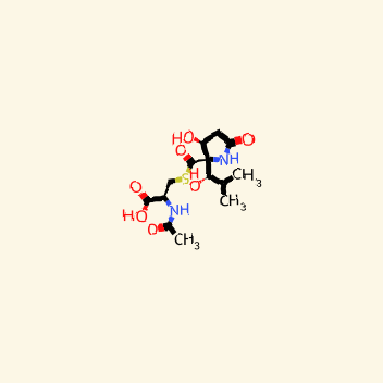 CC(=O)N[C@H](CSC(=O)[C@]1([C@@H](O)C(C)C)NC(=O)C[C@@H]1O)C(=O)O